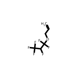 C=CCOC(F)(F)C(F)C(F)(F)F